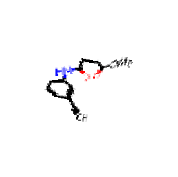 C#Cc1cccc(NC(=O)/C=C\C(=O)OC)c1